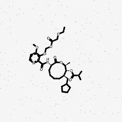 CCOCC(=O)OCOc1c(OC)ccnc1C(=O)N[C@H]1CCCC[C@H](CC2CCCC2)[C@@H](OC(=O)C(C)C)[C@H](C)OC1=O